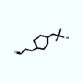 CC(C)(O)CC1CCC(CCC=O)CC1